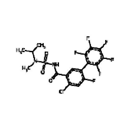 CC(C)N(C)S(=O)(=O)NC(=O)c1cc(-c2c(F)c(F)c(F)c(F)c2F)c(F)cc1Cl